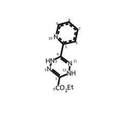 CCOC(=O)C1=NNC(c2ccccn2)=NN1